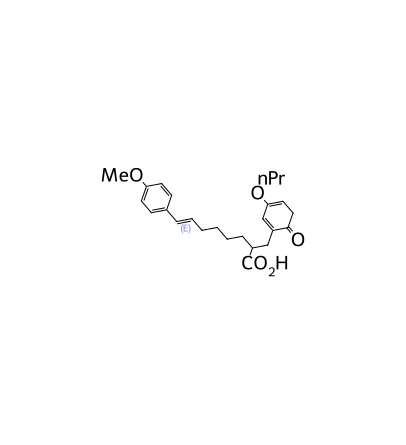 CCCOC1=CCC(=O)C(CC(CCCC/C=C/c2ccc(OC)cc2)C(=O)O)=C1